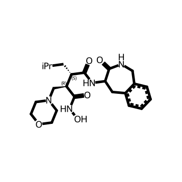 CC(C)C[C@H](C(=O)NC1Cc2ccccc2CNC1=O)[C@H](CN1CCOCC1)C(=O)NO